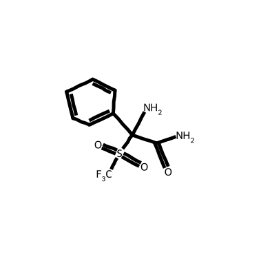 NC(=O)C(N)(c1ccccc1)S(=O)(=O)C(F)(F)F